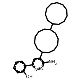 Nc1nnc(-c2ccccc2O)cc1C1CCCCCC(C2CCCCCCCCCC2)CCCCC1